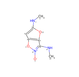 CNc1cc2o[n+]([O-])c(NC)c2o1